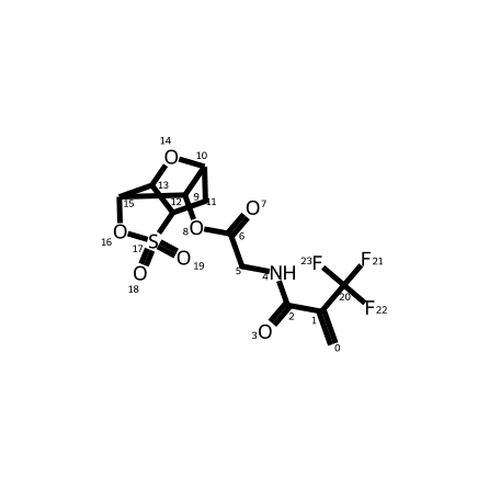 C=C(C(=O)NCC(=O)OC1C2CC3C(O2)C1OS3(=O)=O)C(F)(F)F